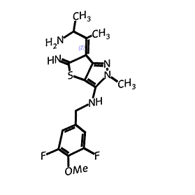 COc1c(F)cc(CNc2c3c(nn2C)/C(=C(\C)C(C)N)C(=N)S3)cc1F